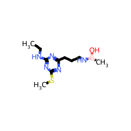 CCNc1nc(CCCNB(C)O)nc(SC)n1